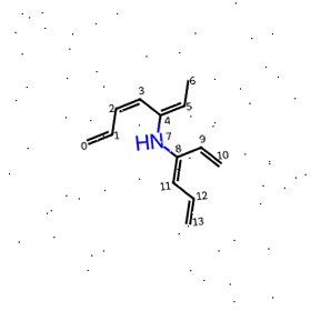 C=C/C=C\C(=C/C)N/C(C=C)=C/C=C